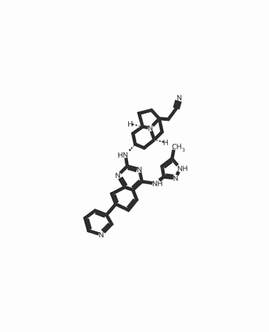 Cc1cc(Nc2nc(N[C@@H]3C[C@H]4CCC5(CC#N)C[C@@H](C3)N45)nc3cc(-c4cccnc4)ccc23)n[nH]1